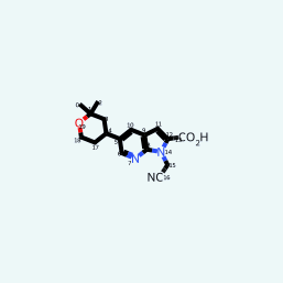 CC1(C)CC(c2cnc3c(c2)cc(C(=O)O)n3CC#N)CCO1